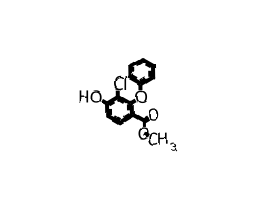 COC(=O)c1ccc(O)c(Cl)c1Oc1ccccc1